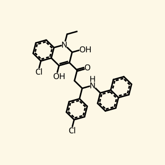 CCN1c2cccc(Cl)c2C(O)=C(C(=O)CC(Nc2cccc3ccccc23)c2ccc(Cl)cc2)C1O